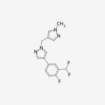 Cn1cc(Cn2cc(-c3ccc(F)c(C(F)F)c3)cn2)cn1